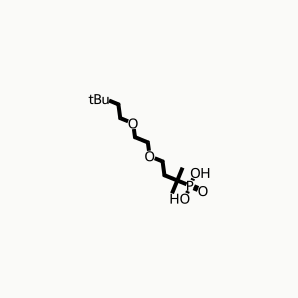 CC(C)(C)CCOCCOCCC(C)(C)P(=O)(O)O